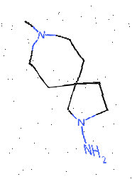 CN1CCC2(CC1)CCN(N)C2